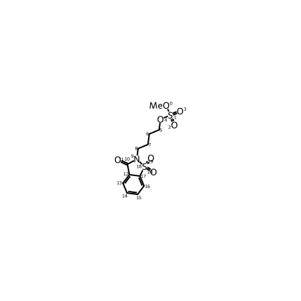 COS(=O)(=O)OCCCCN1C(=O)c2ccccc2S1(=O)=O